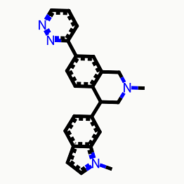 CN1Cc2cc(-c3cccnn3)ccc2C(c2ccc3ccn(C)c3c2)C1